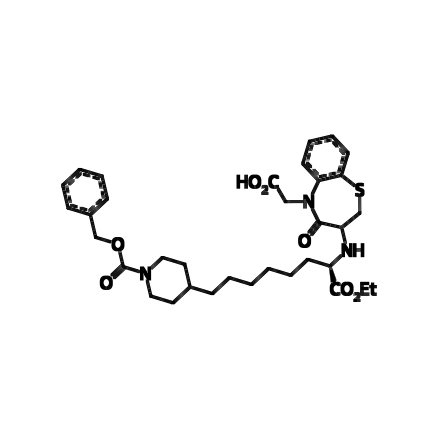 CCOC(=O)[C@@H](CCCCCCC1CCN(C(=O)OCc2ccccc2)CC1)NC1CSc2ccccc2N(CC(=O)O)C1=O